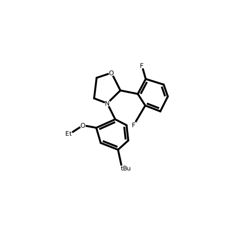 CCOc1cc(C(C)(C)C)ccc1N1CCOC1c1c(F)cccc1F